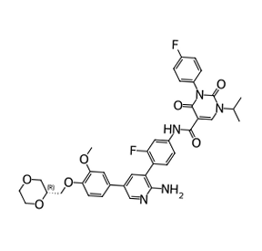 COc1cc(-c2cnc(N)c(-c3ccc(NC(=O)c4cn(C(C)C)c(=O)n(-c5ccc(F)cc5)c4=O)cc3F)c2)ccc1OC[C@H]1COCCO1